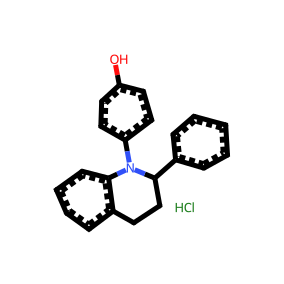 Cl.Oc1ccc(N2c3ccccc3CCC2c2ccccc2)cc1